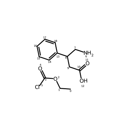 CCOC(=O)Cl.NCC(CC(=O)O)c1ccccc1